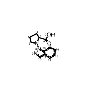 O=C(O)C1CCCN1n1ncc2ccccc21